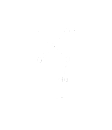 C[CH2][Hg][O]S(=O)(O)=S